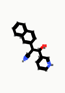 N#CC(c1ccc2ccccc2c1)C(O)c1cccnc1